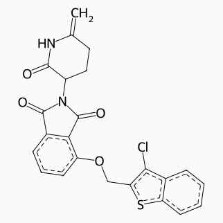 C=C1CCC(N2C(=O)c3cccc(OCc4sc5ccccc5c4Cl)c3C2=O)C(=O)N1